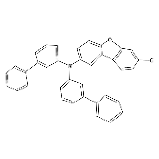 Clc1ccc2c(c1)oc1ccc(N(c3cccc(-c4ccccc4)c3)c3cccc(-c4ccccc4)c3)cc12